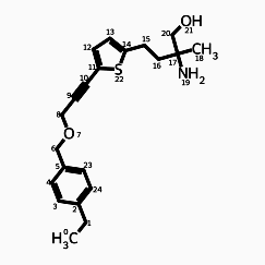 CCc1ccc(COCC#Cc2ccc(CCC(C)(N)CO)s2)cc1